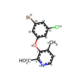 Cc1ccnc(C(=O)O)c1Oc1cc(Cl)cc(Br)c1